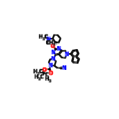 CN(C)C1CCCC[C@@H]1Oc1nc2c(c(N3CCN(C(=O)OC(C)(C)C)C(CC#N)C3)n1)CCN(c1cccc3ccccc13)C2